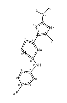 Cc1nc(N(C)C)sc1-c1ccnc(Nc2ccc(F)cc2)n1